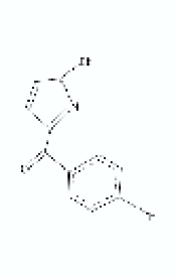 CC[C]1C=CC(C(=O)c2ccc(F)cc2)=N1